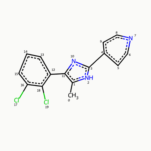 Cc1[nH]c(-c2ccncc2)nc1-c1cccc(Cl)c1Cl